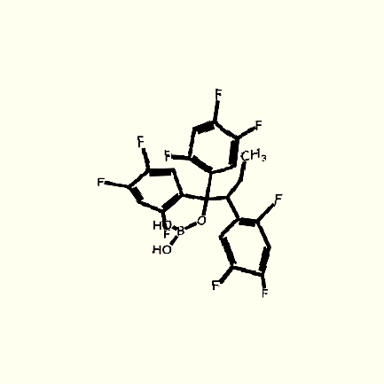 CCC(c1cc(F)c(F)cc1F)C(OB(O)O)(c1cc(F)c(F)cc1F)c1cc(F)c(F)cc1F